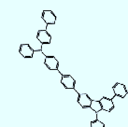 c1ccc(-c2ccc(N(c3ccccc3)c3ccc(-c4ccc(-c5ccc6c(c5)c5cc(-c7ccccc7)ccc5n6-c5ccccc5)cc4)cc3)cc2)cc1